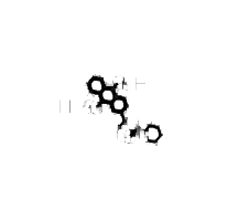 CCC(OC(=O)N1CCCCC1)c1ccc2c(OC)c3ccccc3c(OC)c2c1